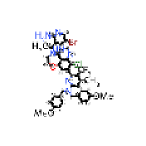 COc1ccc(CN(Cc2ccc(OC)cc2)c2cc(C)c(C(F)(F)F)c(-c3cc4c5c(c3Cl)=NCNC=5N(C(C)c3cc(Br)cnc3N)C=CO4)n2)cc1